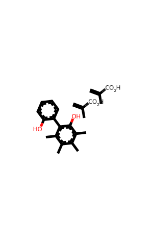 C=C(C)C(=O)O.C=C(C)C(=O)O.Cc1c(C)c(C)c(-c2ccccc2O)c(O)c1C